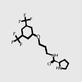 O=C(NCCCOC1CC(C(F)(F)F)CC(C(F)(F)F)C1)[C@H]1CCCN1